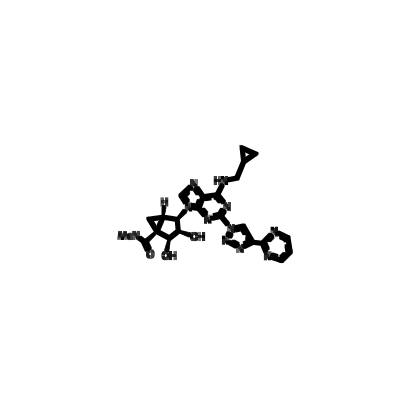 CNC(=O)[C@@]12C[C@@H]1[C@@H](n1cnc3c(NCC4CC4)nc(-n4cc(-c5ncccn5)nn4)nc31)[C@@H](O)[C@H]2O